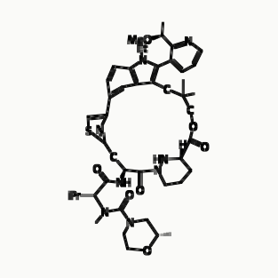 CCn1c(-c2cccnc2[C@H](C)OC)c2c3cc(ccc31)-c1csc(n1)C[C@H](NC(=O)C(C(C)C)N(C)C(=O)N1CCO[C@@H](C)C1)C(=O)N1CCC[C@H](N1)C(=O)OCC(C)(C)C2